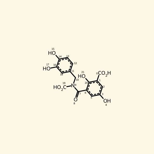 O=C(O)c1cc(O)cc(C(=O)N(Cc2ccc(O)c(O)c2)C(=O)O)c1O